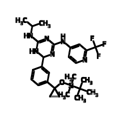 CC(C)NC1=NC(Nc2ccnc(C(F)(F)F)c2)=NC(c2cccc(C3(O[Si](C)(C)C(C)(C)C)CC3)c2)N1